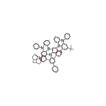 CC(C)(C)c1cc2c3c(c1)N(c1ccccc1)c1ccccc1B3c1cc3c(cc1S2)N(c1c(-c2ccccc2)cc(-c2ccccc2)cc1-c1ccccc1)c1cc(N2C4CC5CC6CC2CC56C4)cc2c1B3c1ccccc1N2c1ccccc1